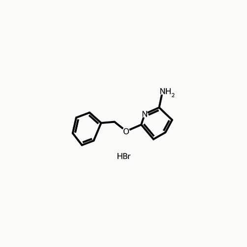 Br.Nc1cccc(OCc2ccccc2)n1